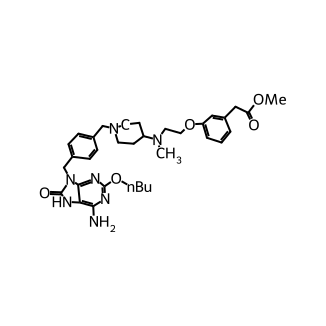 CCCCOc1nc(N)c2[nH]c(=O)n(Cc3ccc(CN4CCC(N(C)CCOc5cccc(CC(=O)OC)c5)CC4)cc3)c2n1